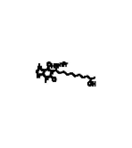 CCCNC(CCCCCCCCC(C)O)n1c(=O)c2c(ncn2C)n(C)c1=O